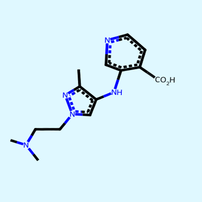 Cc1nn(CCN(C)C)cc1Nc1cnccc1C(=O)O